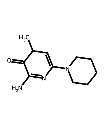 CC1C=C(N2CCCCC2)N=C(N)C1=O